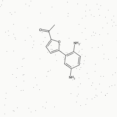 CC(=O)c1ccc(-c2cc(N)ccc2N)o1